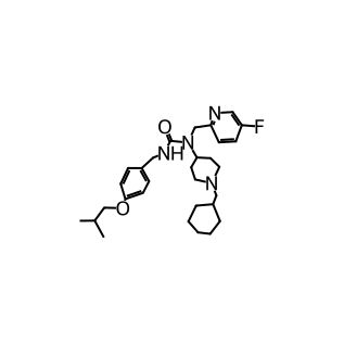 CC(C)COc1ccc(CNC(=O)N(Cc2ccc(F)cn2)C2CCN(CC3CCCCC3)CC2)cc1